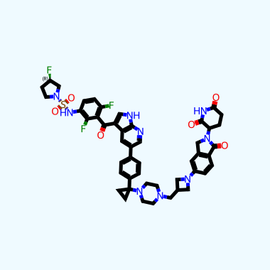 O=C1CCC(N2Cc3cc(N4CC(CN5CCN(C6(c7ccc(-c8cnc9[nH]cc(C(=O)c%10c(F)ccc(NS(=O)(=O)N%11CC[C@@H](F)C%11)c%10F)c9c8)cc7)CC6)CC5)C4)ccc3C2=O)C(=O)N1